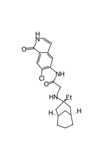 CC[C@]1(NCC(=O)Nc2cc3cc[nH]c(=O)c3cc2Cl)C[C@@H]2CCC[C@@H](C2)C1